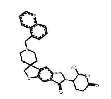 O=C1CCC(N2Cc3cc4c(cc3C2=O)OCC42CCN(Cc3cccc4ncccc34)CC2)C(O)N1